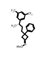 CON=C1CC(CC[C@H](C)c2cc(C(F)(F)F)cc(C(F)(F)F)c2)(c2ccccc2)C1